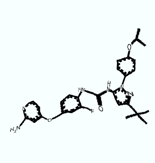 CC(C)Oc1ccc(-n2nc(C(C)(C)C)cc2NC(=O)Nc2ccc(Oc3ccnc(N)c3)cc2F)cc1